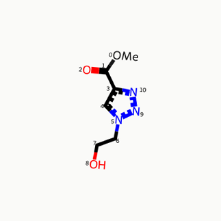 COC(=O)c1cn(CCO)nn1